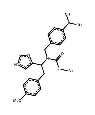 COc1ccc(CC(c2c[nH]nn2)N(Cc2ccc(B(O)O)cc2)C(=O)OC(C)(C)C)cc1